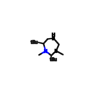 CB1CBCC(C(C)(C)C)N(C)C1C(C)(C)C